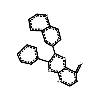 O=c1cc[nH]c2nc(-c3ccccc3)c(-c3ccc4ncccc4c3)nc12